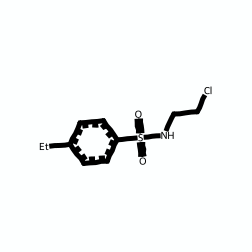 CCc1ccc(S(=O)(=O)NCCCl)cc1